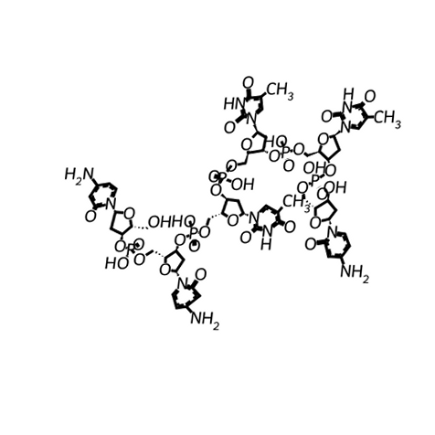 Cc1cn([C@H]2C[C@H](OP(=O)(O)OC[C@H]3O[C@@H](n4cc(C)c(=O)[nH]c4=O)C[C@@H]3OP(=O)(O)OC[C@H]3O[C@@H](n4cc(C)c(=O)[nH]c4=O)C[C@@H]3OP(=O)(O)OC[C@H]3O[C@@H](n4ccc(N)cc4=O)C[C@@H]3O)[C@@H](COP(=O)(O)O[C@H]3C[C@H](n4ccc(N)cc4=O)O[C@@H]3COP(=O)(O)O[C@H]3C[C@H](n4ccc(N)cc4=O)O[C@@H]3CO)O2)c(=O)[nH]c1=O